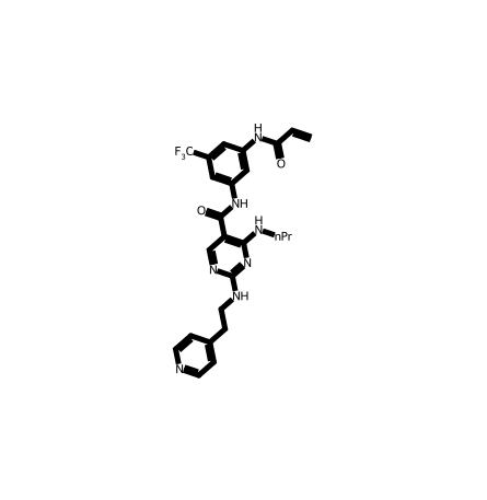 C=CC(=O)Nc1cc(NC(=O)c2cnc(NCCc3ccncc3)nc2NCCC)cc(C(F)(F)F)c1